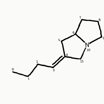 CCCC=C1CC2CCCN2C1